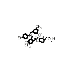 CCc1ccc(N(Cc2cc(C(F)(F)F)cc(C(F)(F)F)c2)Cc2cc(OC(F)(F)F)ccc2N(CC)C[C@H]2CC[C@H](C(=O)O)CC2)cc1